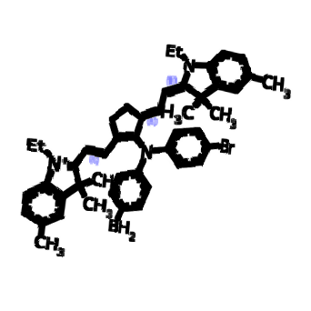 Bc1ccc(N(C2=C(/C=C/C3=[N+](CC)c4ccc(C)cc4C3(C)C)CC/C2=C\C=C2\N(CC)c3ccc(C)cc3C2(C)C)c2ccc(Br)cc2)cc1